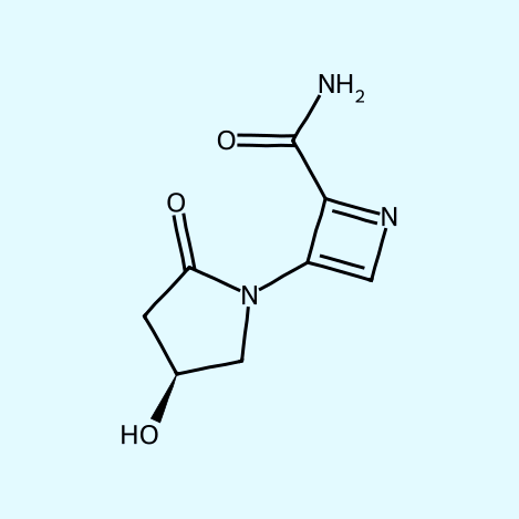 NC(=O)C1=NC=C1N1C[C@@H](O)CC1=O